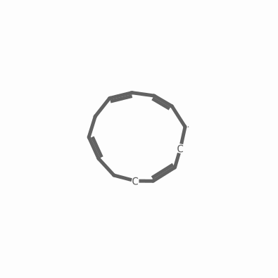 [CH]1C=CC=CCC=CCCC=CC1